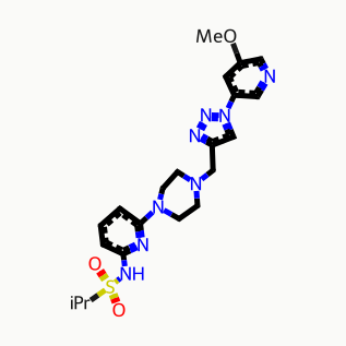 COc1cncc(-n2cc(CN3CCN(c4cccc(NS(=O)(=O)C(C)C)n4)CC3)nn2)c1